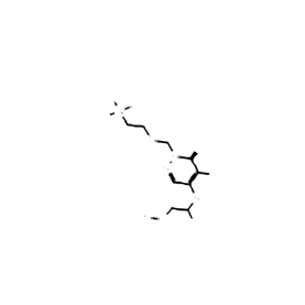 CC(=O)c1c(NC(C)CON)cnn(COCC[Si](C)(C)C)c1=O